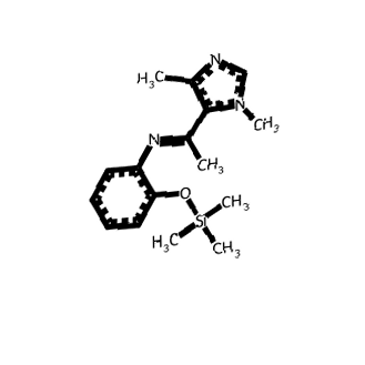 CC(=Nc1ccccc1O[Si](C)(C)C)c1c(C)ncn1C